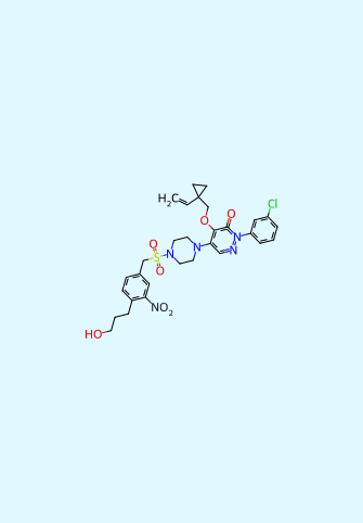 C=CC1(COc2c(N3CCN(S(=O)(=O)Cc4ccc(CCCO)c([N+](=O)[O-])c4)CC3)cnn(-c3cccc(Cl)c3)c2=O)CC1